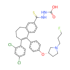 O=C(O)NNC(=S)c1ccc2c(c1)CCCC(c1ccc(Cl)cc1Cl)=C2c1ccc(O[C@H]2CCN(CCCF)C2)cc1